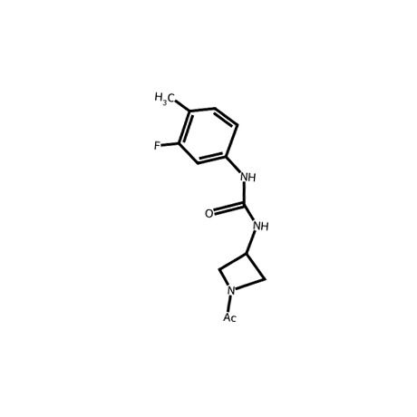 CC(=O)N1CC(NC(=O)Nc2ccc(C)c(F)c2)C1